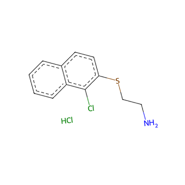 Cl.NCCSc1ccc2ccccc2c1Cl